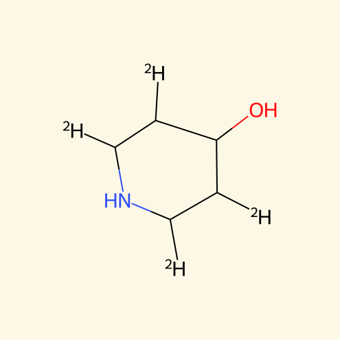 [2H]C1NC([2H])C([2H])C(O)C1[2H]